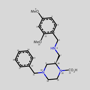 COc1ccc(CNC[C@@H]2CN(Cc3ccccc3)CCN2C(=O)O)c(OC)c1